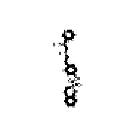 O=S(=O)(Nc1ccc(CCNC[C@@H](O)c2cccnc2)cc1)N1CCc2ccccc2C1